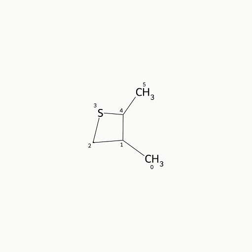 CC1CSC1C